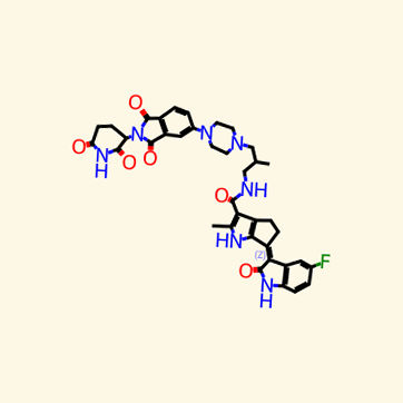 Cc1[nH]c2c(c1C(=O)NCC(C)CN1CCN(c3ccc4c(c3)C(=O)N(C3CCC(=O)NC3=O)C4=O)CC1)CC/C2=C1/C(=O)Nc2ccc(F)cc21